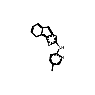 Cc1ccc(Nc2nc3c(s2)=CC2=CC=CCC=32)nc1